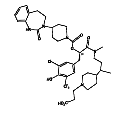 CC(CCN(C)C(=O)[C@@H](Cc1cc(Cl)c(O)c(C(F)(F)F)c1)OC(=O)N1CCC(N2CCc3ccccc3NC2=O)CC1)C1CCN(CCC(=O)O)CC1